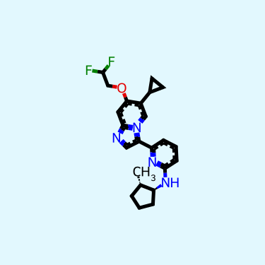 C[C@H]1CCC[C@@H]1Nc1cccc(-c2cnc3cc(OCC(F)F)c(C4CC4)cn23)n1